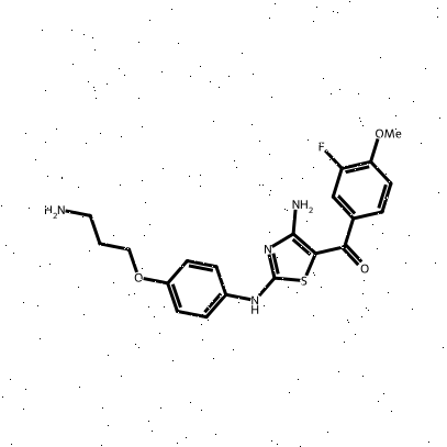 COc1ccc(C(=O)c2sc(Nc3ccc(OCCCN)cc3)nc2N)cc1F